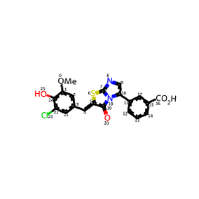 COc1cc(C=c2sc3ncc(-c4cccc(C(=O)O)c4)n3c2=O)cc(Cl)c1O